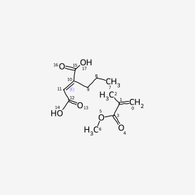 C=C(C)C(=O)OC.CCC/C(=C\C(=O)O)C(=O)O